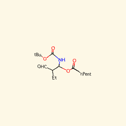 CCCCCC(=O)OC(NC(=O)OC(C)(C)C)C(C=O)CC